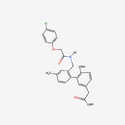 CCN(Cc1cc(C)ccc1-c1cc(CC(=O)OC)ccc1OC)C(=O)COc1ccc(Cl)cc1